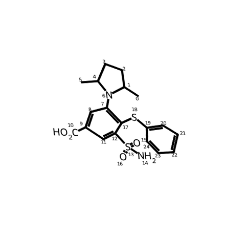 CC1CCC(C)N1c1cc(C(=O)O)cc(S(N)(=O)=O)c1Sc1ccccc1